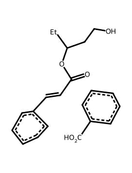 CCC(CCO)OC(=O)C=Cc1ccccc1.O=C(O)c1ccccc1